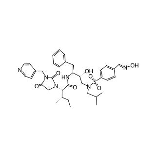 CC[C@H](C)[C@@H](C(=O)N[C@@H](Cc1ccccc1)[C@H](O)CN(CC(C)C)S(=O)(=O)c1ccc(/C=N/O)cc1)N1CC(=O)N(Cc2ccncc2)C1=O